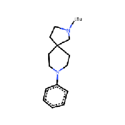 CC(C)(C)N1CCC2(CCN(c3ccccc3)CC2)C1